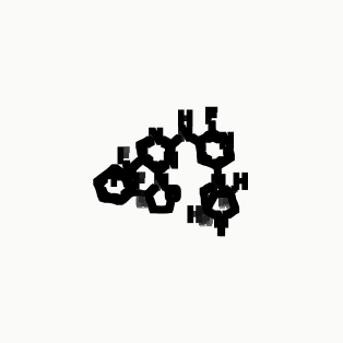 CN1C[C@H]2C[C@@H]1CN2c1cnc(F)c(Nc2ncc(C(F)(F)F)c(N3OCC[C@H]3c3ccccc3)n2)c1